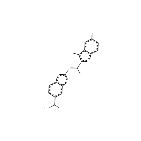 Cc1c(C(Nc2nc3ccc(C(N)O)cc3[nH]2)C(C)C)oc2ccc(F)cc12